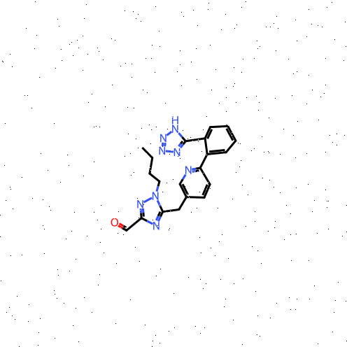 CCCCn1nc(C=O)nc1Cc1ccc(-c2ccccc2-c2nnn[nH]2)nc1